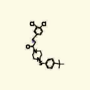 CC(C)(C)c1ccc(SN2CCN(C(=O)/C=C/c3ccc(Cl)c(Cl)c3)CC2)cc1